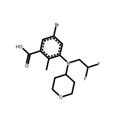 Cc1c(C(=O)O)cc(Br)cc1N(CC(F)F)C1CCOCC1